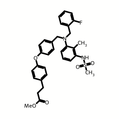 COC(=O)CCc1ccc(Oc2ccc(CN(Cc3ccccc3F)c3cccc(NS(C)(=O)=O)c3C)cc2)cc1